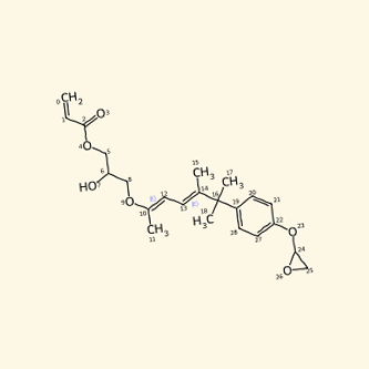 C=CC(=O)OCC(O)CO/C(C)=C/C=C(\C)C(C)(C)c1ccc(OC2CO2)cc1